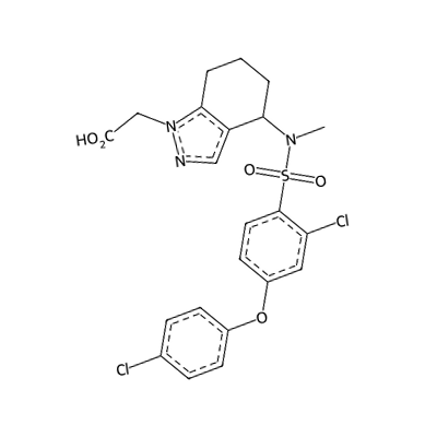 CN(C1CCCc2c1cnn2CC(=O)O)S(=O)(=O)c1ccc(Oc2ccc(Cl)cc2)cc1Cl